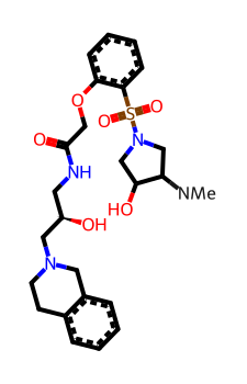 CNC1CN(S(=O)(=O)c2ccccc2OCC(=O)NC[C@@H](O)CN2CCc3ccccc3C2)CC1O